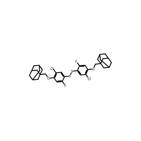 Fc1cc(OCC23CC4CC(CC(C4)C2)C3)c(Cl)cc1SSc1cc(Cl)c(OCC23CC4CC(CC(C4)C2)C3)cc1F